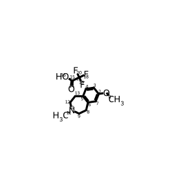 COc1ccc2c(c1)CCN(C)CC2.O=C(O)C(F)(F)F